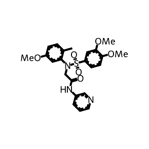 COc1ccc(C)c(N(CC(=O)Nc2cccnc2)S(=O)(=O)c2ccc(OC)c(OC)c2)c1